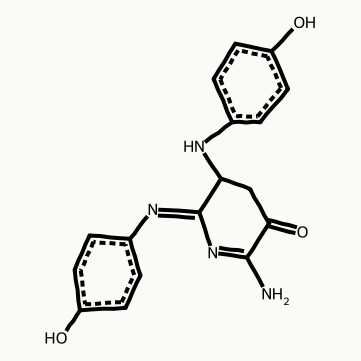 NC1=NC(=Nc2ccc(O)cc2)C(Nc2ccc(O)cc2)CC1=O